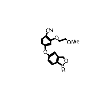 COCCOc1cc(Oc2ccc3c(c2)COB3)ccc1C#N